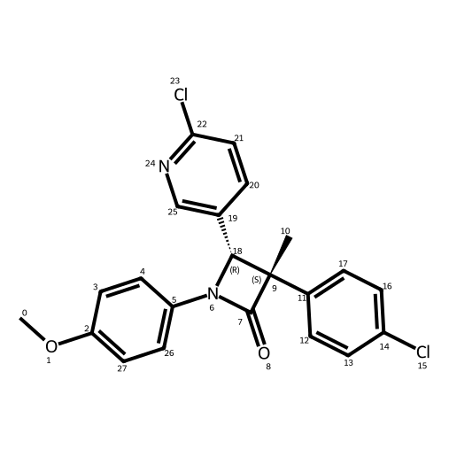 COc1ccc(N2C(=O)[C@@](C)(c3ccc(Cl)cc3)[C@H]2c2ccc(Cl)nc2)cc1